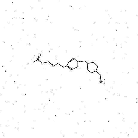 CC(=O)OCCCCc1ccc(CC2CCC(CN)CC2)cc1